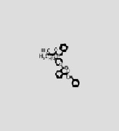 CC(C)C1NC2(CCN(C(=O)c3ccccc3C(=O)OCc3ccccc3)CC2)N(Cc2ccccc2)C1=O